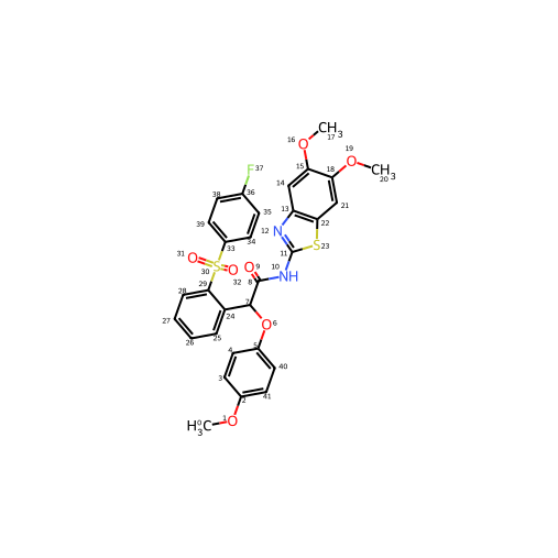 COc1ccc(OC(C(=O)Nc2nc3cc(OC)c(OC)cc3s2)c2ccccc2S(=O)(=O)c2ccc(F)cc2)cc1